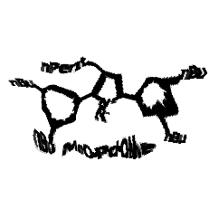 CCCCCC1=C(c2cc(CCCC)cc(CCCC)c2)[N+](=[N-])C(c2cc(CCCC)cc(CCCC)c2)=C1.C[O][Pd][O]C